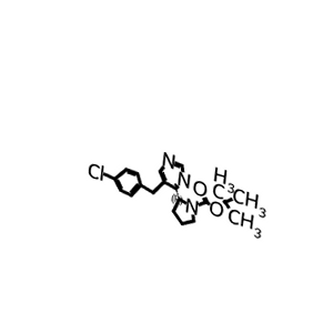 CC(C)(C)OC(=O)N1CCC[C@@H]1c1ncncc1Cc1ccc(Cl)cc1